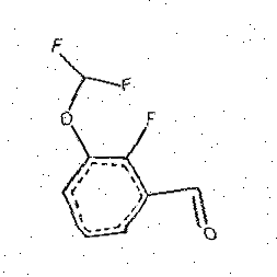 O=Cc1cccc(OC(F)F)c1F